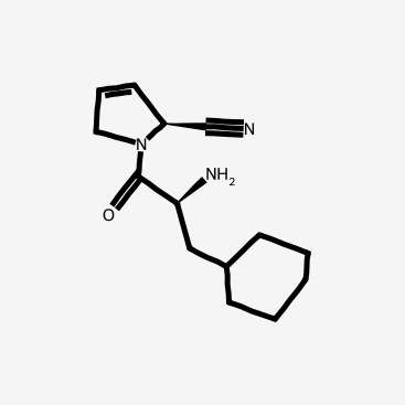 N#C[C@@H]1C=CCN1C(=O)[C@@H](N)CC1CCCCC1